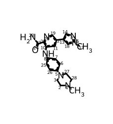 CN1CCN(c2ccc(Nc3cc(-c4cnn(C)c4)cnc3C(N)=O)cc2)CC1